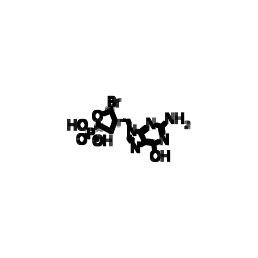 Nc1nc(O)c2ncn(C[C@@H]3C[C@H](P(=O)(O)O)O[C@@H]3Br)c2n1